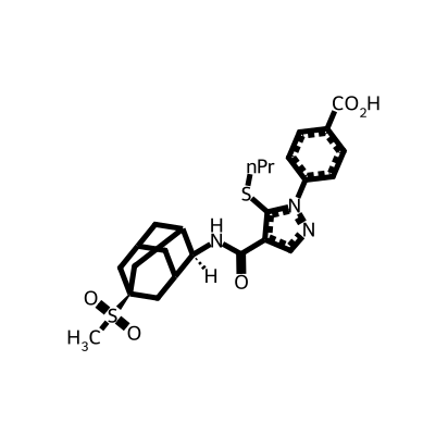 CCCSc1c(C(=O)N[C@H]2C3CC4CC2C[C@@](S(C)(=O)=O)(C4)C3)cnn1-c1ccc(C(=O)O)cc1